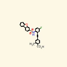 Cc1cc(C#Cc2cc(F)ccc2NS(=O)(=O)c2ccc3c(c2)oc2ccccc23)ccc1C(=O)O